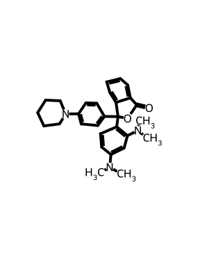 CN(C)c1ccc(C2(c3ccc(N4CCCCC4)cc3)OC(=O)c3ccccc32)c(N(C)C)c1